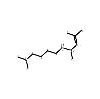 CC(C)=NN(C)NCCCCN(C)C